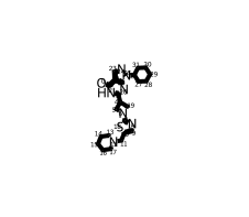 O=c1[nH]c(C2CN(c3ncc(CN4CCCCC4)s3)C2)nc2c1cnn2C1CCCCC1